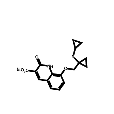 CCOC(=O)c1cc2cccc(OCC3(SC4CC4)CC3)c2[nH]c1=O